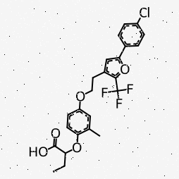 CCC(Oc1ccc(OCCc2cc(-c3ccc(Cl)cc3)oc2C(F)(F)F)cc1C)C(=O)O